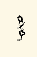 CCC(C)Oc1ccc(OC(CC)C2=COc3ccccc3O2)cc1